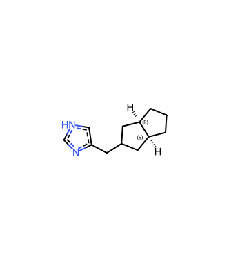 c1nc(CC2C[C@H]3CCC[C@H]3C2)c[nH]1